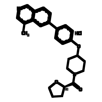 Cc1cncc2ccc(-c3ccc(OC4CCN(C(=O)[C@H]5CCCO5)CC4)cc3)cc12.Cl